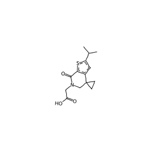 CC(C)c1cc2c(s1)C(=O)N(CC(=O)O)CC21CC1